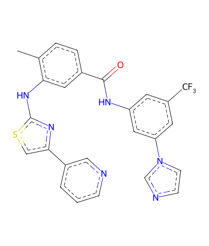 Cc1ccc(C(=O)Nc2cc(-n3ccnc3)cc(C(F)(F)F)c2)cc1Nc1nc(-c2cccnc2)cs1